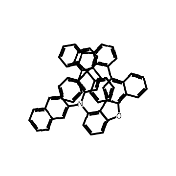 c1ccc(C2(c3ccccc3)c3ccccc3-c3cccc(-c4cc5c(oc6cccc(N(c7ccc8ccccc8c7)c7ccc8ccccc8c7)c65)c5ccccc45)c32)cc1